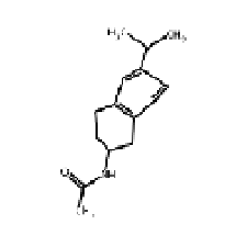 CC(=O)NC1CCc2cc(C(C)C)ccc2C1